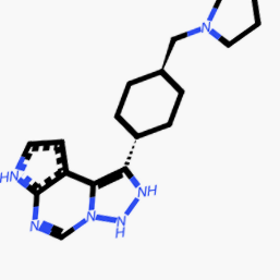 C1=Nc2[nH]ccc2C2=C([C@H]3CC[C@H](CN4CCCC4)CC3)NNN12